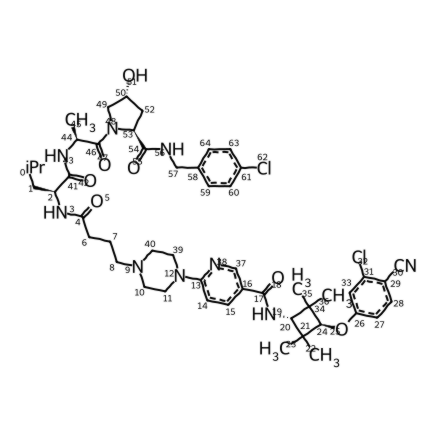 CC(C)C[C@H](NC(=O)CCCN1CCN(c2ccc(C(=O)N[C@H]3C(C)(C)[C@H](Oc4ccc(C#N)c(Cl)c4)C3(C)C)cn2)CC1)C(=O)N[C@@H](C)C(=O)N1C[C@H](O)C[C@H]1C(=O)NCc1ccc(Cl)cc1